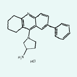 Cl.NC1CCN(c2c3c(nc4ccc(-c5cccnc5)cc24)CCCC3)C1